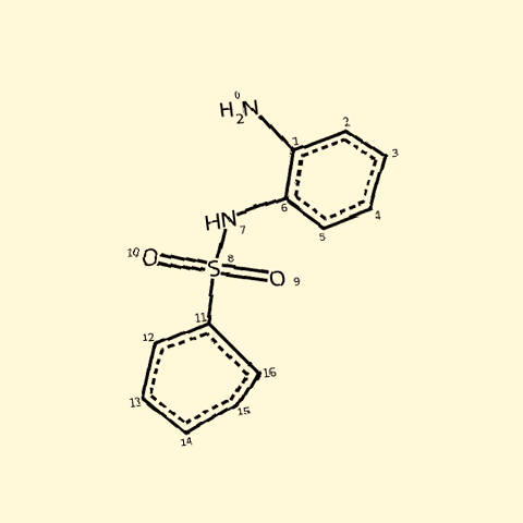 Nc1ccccc1NS(=O)(=O)c1ccccc1